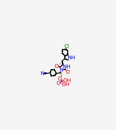 N#Cc1ccc([C@@H](COP(=O)(O)O)N2C(=O)N/C(=C\c3c[nH]c4cc(Cl)ccc34)C2=O)cc1